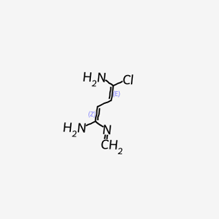 C=N/C(N)=C\C=C(/N)Cl